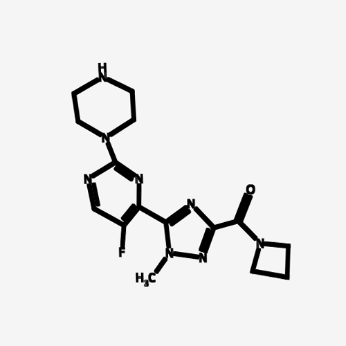 Cn1nc(C(=O)N2CCC2)nc1-c1nc(N2CCNCC2)ncc1F